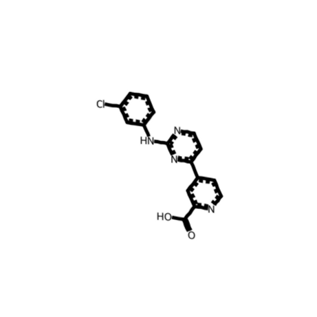 O=C(O)c1cc(-c2ccnc(Nc3cccc(Cl)c3)n2)ccn1